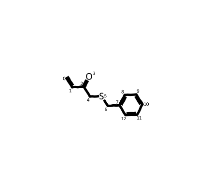 C=CC(=O)CSCc1ccccc1